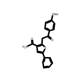 COc1ccc(C(=O)Cc2sc(-c3ccccc3)cc2C(N)=O)cc1